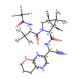 CC(C)(C)[C@H](NC(=O)C(F)(F)F)C(=O)N1C[C@H]2[C@@H]([C@H]1C(=O)NC(C#N)c1cnc3c(n1)OCCC3)C2(C)C